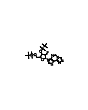 CC(C)(C)[Si](C)(C)OCC1O[C@@H](n2cnc3c2ncn2cnnc32)[C@H](F)C1O[Si](C)(C)C(C)(C)C